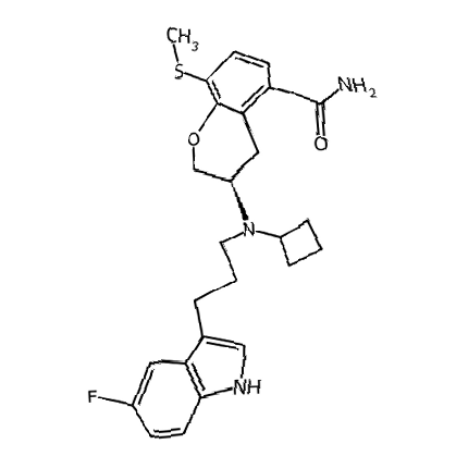 CSc1ccc(C(N)=O)c2c1OC[C@H](N(CCCc1c[nH]c3ccc(F)cc13)C1CCC1)C2